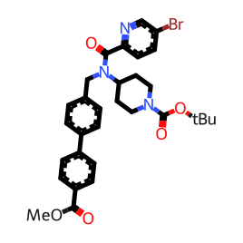 COC(=O)c1ccc(-c2ccc(CN(C(=O)c3ccc(Br)cn3)C3CCN(C(=O)OC(C)(C)C)CC3)cc2)cc1